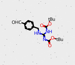 CC(C)(C)OC(=O)N=C(NCc1ccc(C=O)cc1)NC(=O)OC(C)(C)C